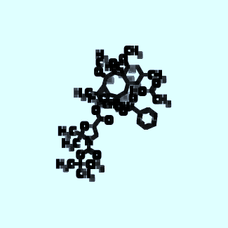 CO[C@H]1C(=O)[C@@]2(C)[C@@H]([C@@H](OC(C)=O)C(C)C[C@@H]2OC)[C@H](OC(=O)c2ccccc2)[C@]2(O)C[C@H](OC(=O)C3CN(C(=O)OC(C)(C)C)C(C)(C)O3)C(C)=C1C2(C)C